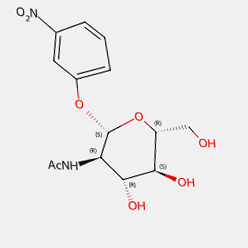 CC(=O)N[C@H]1[C@H](Oc2cccc([N+](=O)[O-])c2)O[C@H](CO)[C@@H](O)[C@@H]1O